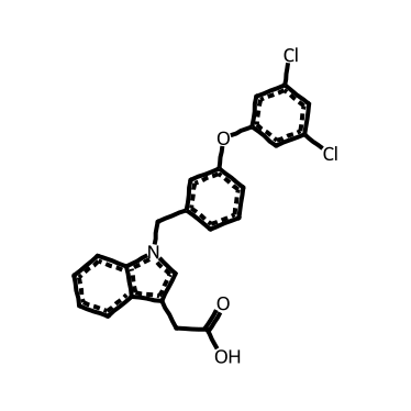 O=C(O)Cc1cn(Cc2cccc(Oc3cc(Cl)cc(Cl)c3)c2)c2ccccc12